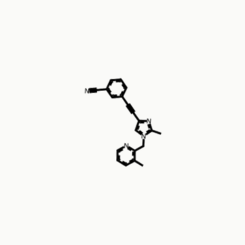 Cc1cccnc1Cn1cc(C#Cc2cccc(C#N)c2)nc1C